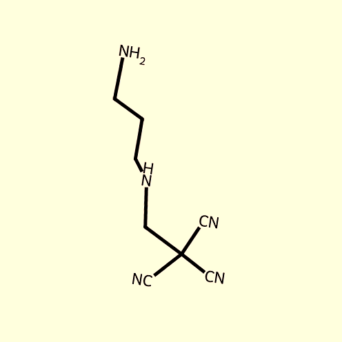 N#CC(C#N)(C#N)CNCCCN